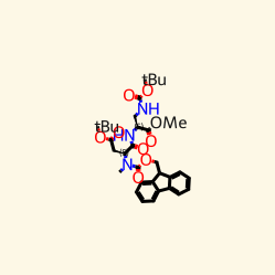 COC(=O)[C@H](CNC(=O)OC(C)(C)C)NC(=O)[C@H](CC(=O)OC(C)(C)C)N(C)C(=O)OCC1c2ccccc2-c2ccccc21